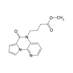 COC(=O)CCCn1c(=O)c2cccn2c2ncccc21